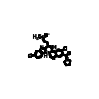 C[S+]([O-])CCC(Nc1ncnc2cc(C(=O)N3CCCC3)c(Cl)cc12)c1nc2cc(Cl)ccc2[nH]1